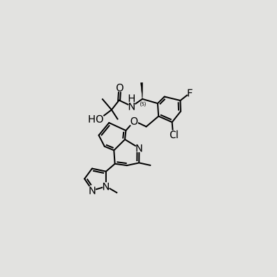 Cc1cc(-c2ccnn2C)c2cccc(OCc3c(Cl)cc(F)cc3[C@H](C)NC(=O)C(C)(C)O)c2n1